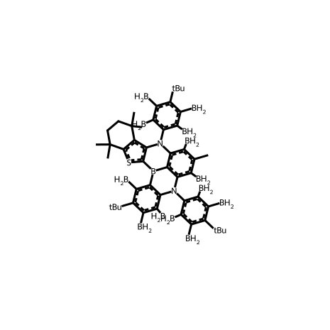 Bc1c(B)c(C(C)(C)C)c(B)c(B)c1N1c2c(B)c(B)c(C(C)(C)C)c(B)c2B2c3sc4c(c3N(c3c(B)c(B)c(C(C)(C)C)c(B)c3B)c3c(B)c(C)c(B)c1c32)C(C)(C)CCC4(C)C